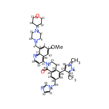 COc1cc(CN2CCN(C3CCOCC3)CC2)c2nccc(N3CCc4c(cc(Cn5ccnc5)cc4-c4cn(C)nc4C(F)(F)F)C3=O)c2c1